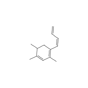 C=C/C=C\C1=C(C)C=C(C)C(C)C1